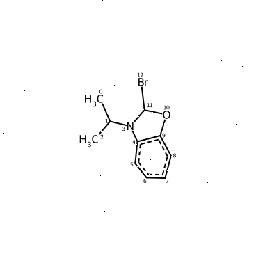 CC(C)N1c2ccccc2OC1Br